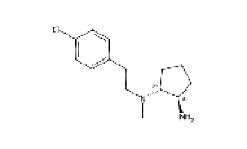 CN(CCc1ccc(Cl)cc1)[C@@H]1CCC[C@H]1N